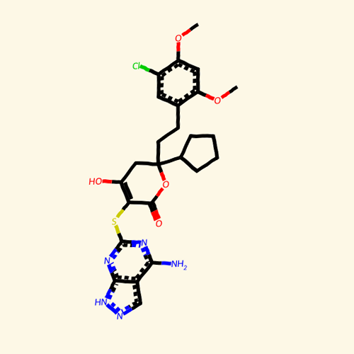 COc1cc(OC)c(CCC2(C3CCCC3)CC(O)=C(Sc3nc(N)c4cn[nH]c4n3)C(=O)O2)cc1Cl